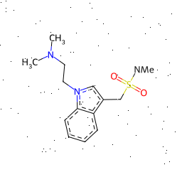 CNS(=O)(=O)Cc1cn(CCN(C)C)c2ccccc12